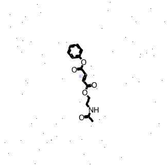 CC(=O)NCCOC(=O)/C=C/C(=O)Oc1ccccc1